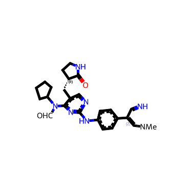 CN/C=C(\C=N)c1ccc(Nc2ncc(C[C@@H]3CCNC3=O)c(N(C=O)C3CCCC3)n2)cc1